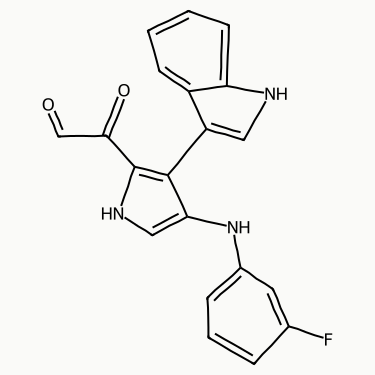 O=CC(=O)c1[nH]cc(Nc2cccc(F)c2)c1-c1c[nH]c2ccccc12